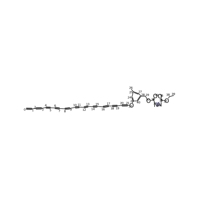 C#CC#CC#CC#CC#CC#CC#CC#CC#CC#CC#COc1cc(C)cc(COC(=O)/N=N\C(=O)OCC)c1